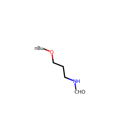 CCCCOCCCNC=O